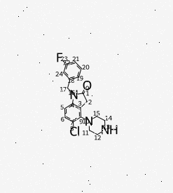 O=C1Cc2c(ccc(Cl)c2N2CCNCC2)N1Cc1cccc(F)c1